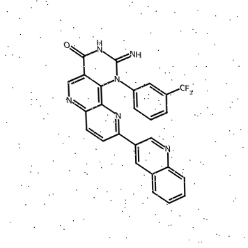 N=c1[nH]c(=O)c2cnc3ccc(-c4cnc5ccccc5c4)nc3c2n1-c1cccc(C(F)(F)F)c1